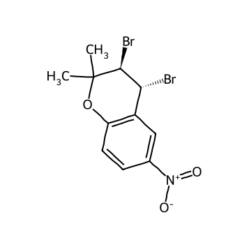 CC1(C)Oc2ccc([N+](=O)[O-])cc2[C@@H](Br)[C@@H]1Br